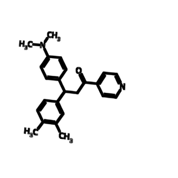 Cc1ccc(C(CC(=O)c2ccncc2)c2ccc(N(C)C)cc2)cc1C